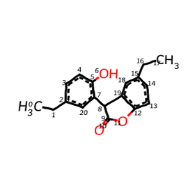 CCc1ccc(O)c(C2C(=O)Oc3ccc(CC)cc32)c1